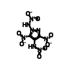 O=[N+]([O-])Nc1c([N+](=O)[O-])nn(N[N+](=O)[O-])c1[N+](=O)[O-]